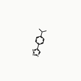 CC(C)c1ccc(-c2csnn2)cc1